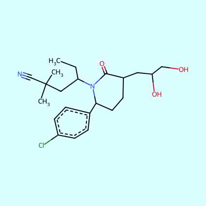 CCC(CC(C)(C)C#N)N1C(=O)C(CC(O)CO)CCC1c1ccc(Cl)cc1